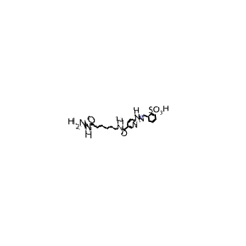 NNC(=O)CCCCCNC(=O)c1ccc(N/N=C/c2ccccc2S(=O)(=O)O)nc1